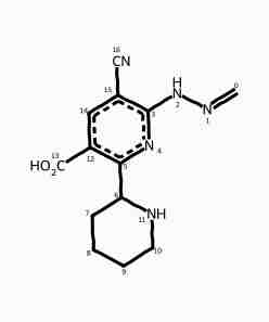 C=NNc1nc(C2CCCCN2)c(C(=O)O)cc1C#N